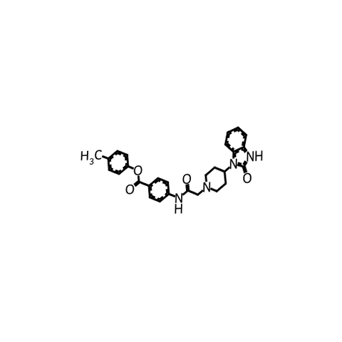 Cc1ccc(OC(=O)c2ccc(NC(=O)CN3CCC(n4c(=O)[nH]c5ccccc54)CC3)cc2)cc1